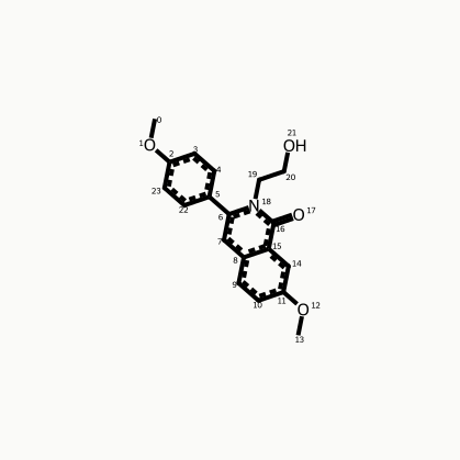 COc1ccc(-c2cc3ccc(OC)cc3c(=O)n2CCO)cc1